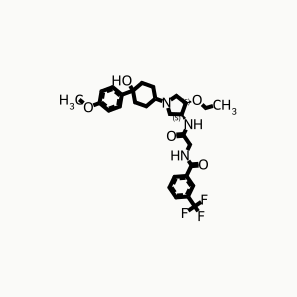 CCO[C@H]1CN(C2CCC(O)(c3ccc(OC)cc3)CC2)C[C@@H]1NC(=O)CNC(=O)c1cccc(C(F)(F)F)c1